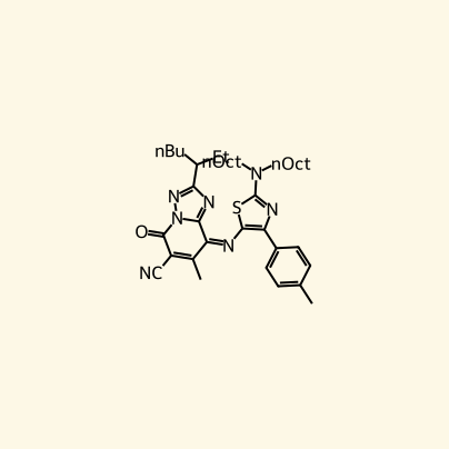 CCCCCCCCN(CCCCCCCC)c1nc(-c2ccc(C)cc2)c(/N=C2/C(C)=C(C#N)C(=O)n3nc(C(CC)CCCC)nc32)s1